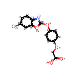 O=C(O)COc1ccc(Oc2nc3ccc(Cl)cc3o2)cc1